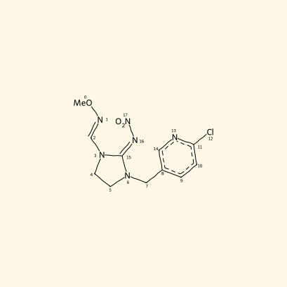 CON=CN1CCN(Cc2ccc(Cl)nc2)C1=N[N+](=O)[O-]